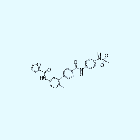 Cc1ccc(NC(=O)c2ccco2)cc1-c1ccc(C(=O)Nc2ccc(NS(C)(=O)=O)cc2)cc1